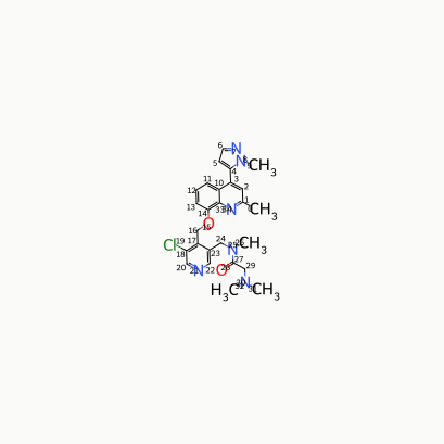 Cc1cc(-c2ccnn2C)c2cccc(OCc3c(Cl)cncc3CN(C)C(=O)CN(C)C)c2n1